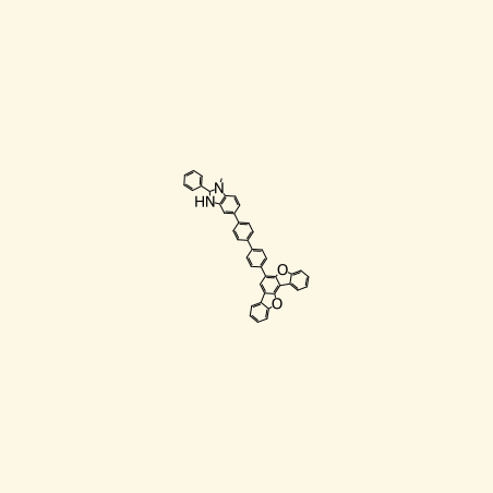 CN1c2ccc(-c3ccc(-c4ccc(-c5cc6c7ccccc7oc6c6c5oc5ccccc56)cc4)cc3)cc2NC1c1ccccc1